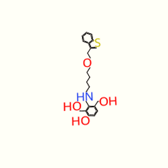 OCc1ccc(O)c(CO)c1CNCCCCCCOCCc1csc2ccccc12